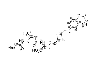 C[C@@H](CNC(=O)OC(C)(C)C)OC(=O)N[C@@H](CCO[C@H]1C[C@H](CCc2ccc3c(n2)NCCC3)C1)C(=O)O